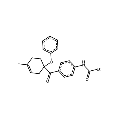 CCC(=O)Nc1ccc(C(=O)C2(Oc3ccccc3)CC=C(C)CC2)cc1